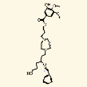 COc1cc(C(=O)OCCCN2CCCN(CCC(CCCO)O/N=C/c3ccccc3)CC2)cc(O)c1OC